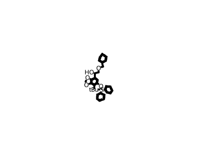 Cc1c(O[Si](c2ccccc2)(c2ccccc2)C(C)(C)C)cc([C@@H](O)COCc2ccccc2)c2c1OCO2